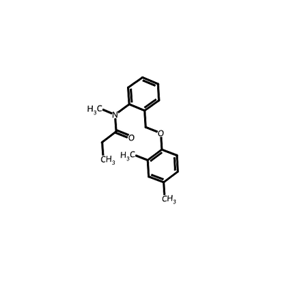 CCC(=O)N(C)c1ccccc1COc1ccc(C)cc1C